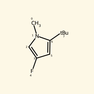 Cn1cc(F)cc1C(C)(C)C